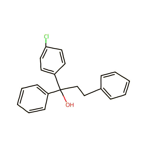 OC(CCc1ccccc1)(c1ccccc1)c1ccc(Cl)cc1